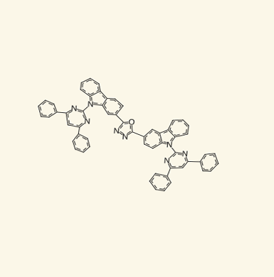 c1ccc(-c2cc(-c3ccccc3)nc(-n3c4ccccc4c4cc(-c5nnc(-c6ccc7c8ccccc8n(-c8nc(-c9ccccc9)cc(-c9ccccc9)n8)c7c6)o5)ccc43)n2)cc1